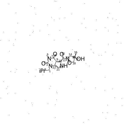 CC(C)Cn1c(=O)n(C)c(=O)c2c(C(=O)N3C[C@](C)(O)CO3)[nH]cc21